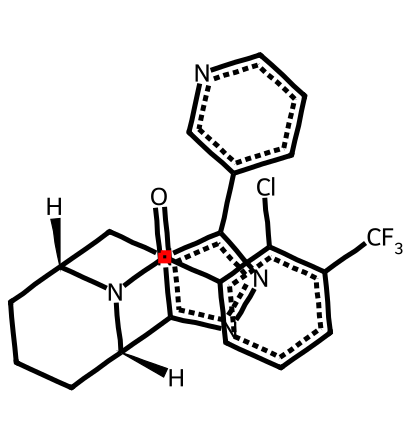 O=C(c1cccc(C(F)(F)F)c1Cl)N1[C@@H]2CCC[C@H]1c1nnc(-c3cccnc3)n1C2